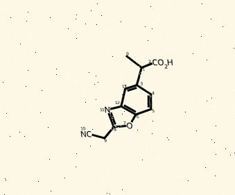 CC(C(=O)O)c1ccc2oc(CC#N)nc2c1